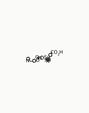 O=C(O)c1ccc(-n2nnnc2SC2CCN(C(=O)Oc3ccc(Cc4ccccn4)cc3)CC2)cc1